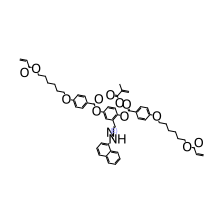 C=CC(=O)OCCCCCCOc1ccc(C(=O)Oc2cc(/C=N/Nc3cccc4ccccc34)c(OC(=O)c3ccc(OCCCCCCOC(=O)C=C)cc3)c(OC(=O)C(=C)C)c2)cc1